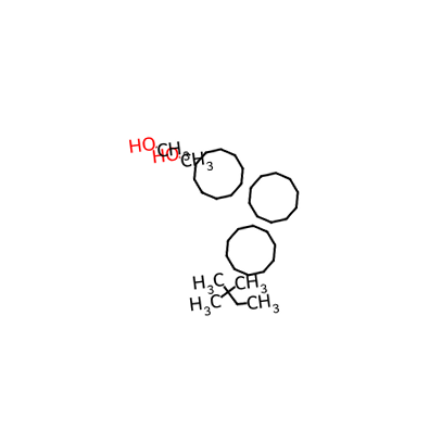 C1CCCCCCCCC1.C1CCCCCCCCC1.C1CCCCCCCCC1.CCC(C)(C)C.CO.CO